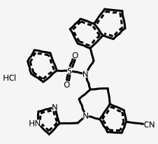 Cl.N#Cc1ccc2c(c1)CC(N(Cc1cccc3ccccc13)S(=O)(=O)c1ccccc1)CN2Cc1c[nH]cn1